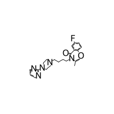 CC1=COc2ccc(F)cc2C(=O)N1CCCCN1CCN(c2ncccn2)CC1